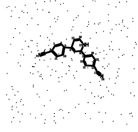 N#Cc1ccc(C2=CC(c3ccc(C#N)cc3)NC=C2)cc1